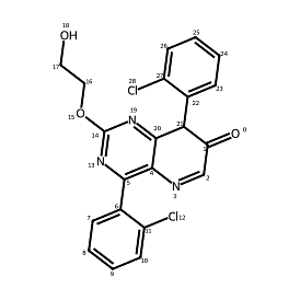 O=C1C=Nc2c(-c3ccccc3Cl)nc(OCCO)nc2C1c1ccccc1Cl